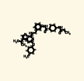 C=CC(=O)N[C@H]1CC[C@H](C(=O)Nc2cccc(CNc3nc(OC4CCN(C)CC4)nc4c(C(C)C)cnn34)c2)CC1